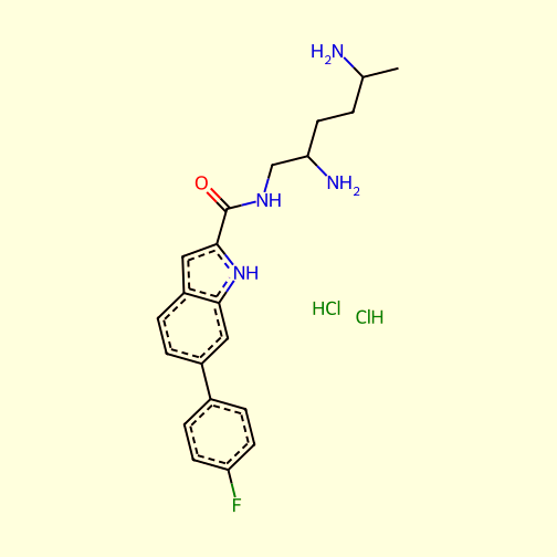 CC(N)CCC(N)CNC(=O)c1cc2ccc(-c3ccc(F)cc3)cc2[nH]1.Cl.Cl